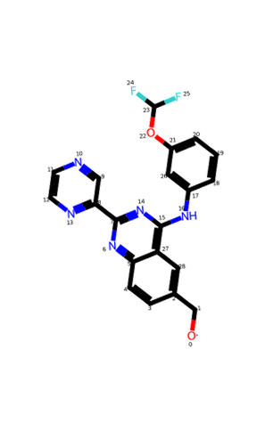 [O]Cc1ccc2nc(-c3cnccn3)nc(Nc3cccc(OC(F)F)c3)c2c1